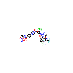 CC(C)(C)C[C@@H]1N[C@@H](C(=O)NC23CCC(C(=O)N4CCN(c5ccc6c(c5)CN(C5CCC(=O)NC5=O)C6=O)CC4)(CC2)CC3)[C@H](c2cccc(Cl)c2F)[C@]12CNc1cc(C(F)(F)F)ncc12.Cl